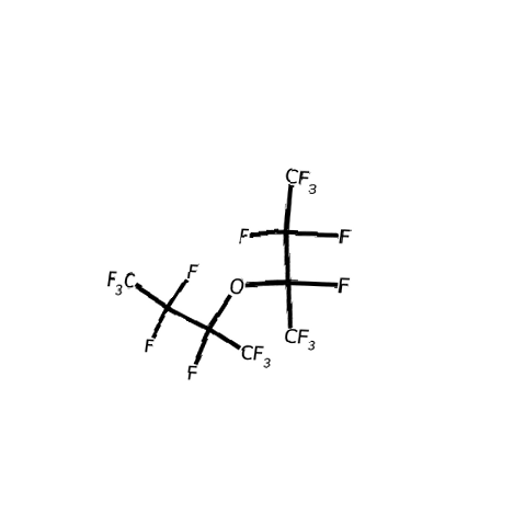 FC(F)(F)C(F)(F)C(F)(OC(F)(C(F)(F)F)C(F)(F)C(F)(F)F)C(F)(F)F